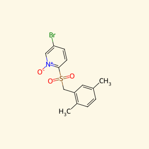 Cc1ccc(C)c(CS(=O)(=O)c2ccc(Br)c[n+]2[O-])c1